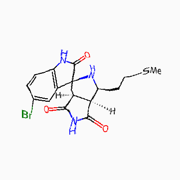 CSCC[C@@H]1N[C@@]2(C(=O)Nc3ccc(Br)cc32)[C@@H]2C(=O)NC(=O)[C@H]12